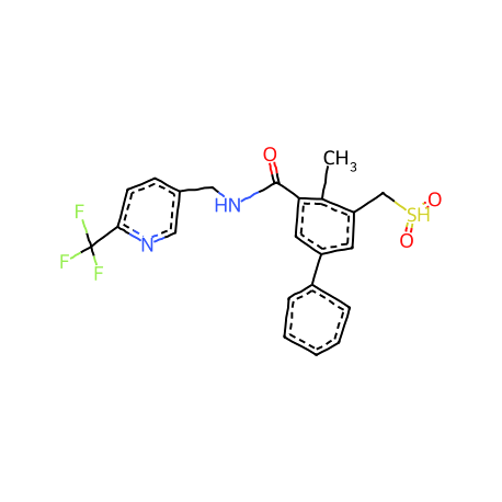 Cc1c(C[SH](=O)=O)cc(-c2ccccc2)cc1C(=O)NCc1ccc(C(F)(F)F)nc1